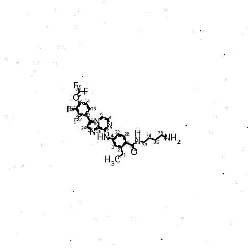 CCc1cc(Nc2nccn3c(-c4ccc(OC(F)F)c(F)c4F)cnc23)ccc1C(=O)NCCCCN